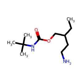 CCC(CCN)COC(=O)NC(C)(C)C